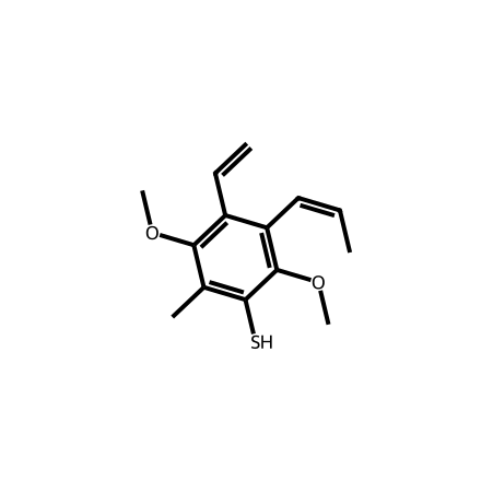 C=Cc1c(/C=C\C)c(OC)c(S)c(C)c1OC